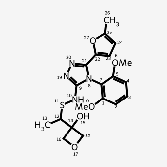 COc1cccc(OC)c1-n1c(NSC(C)C2(O)COC2)nnc1-c1ccc(C)o1